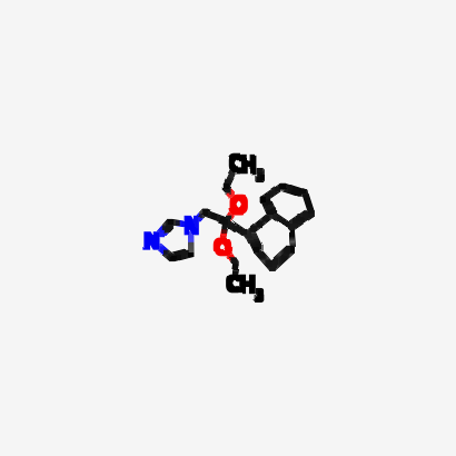 CCOC(Cn1ccnc1)(OCC)c1cccc2ccccc12